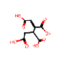 O=C(O)/C=C(/C(=O)O)C(CC(=O)O)C(=O)O